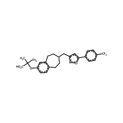 CC(C)(Oc1ccc2c(c1)CCN(Cc1cc(-c3ccc(C(F)(F)F)cc3)on1)CC2)C(=O)O